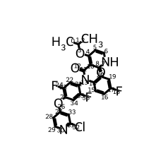 CC(C)Oc1cc[nH]c(=O)c1C(=O)N(c1ccc(F)cc1)c1cc(F)c(Oc2ccnc(Cl)c2)cc1F